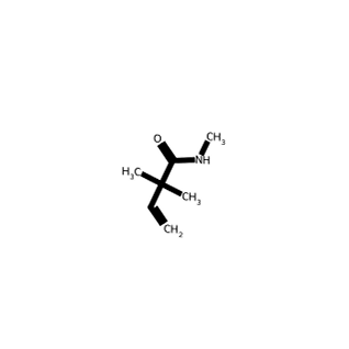 C=CC(C)(C)C(=O)NC